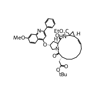 CCOC(=O)[C@@]12C[C@H]1C=CCCCCC[C@H](CC(=O)OC(C)(C)C)C(=O)N1C[C@H](Oc3cc(-c4ccccc4)nc4cc(OC)ccc34)C[C@H]1C(=O)N2